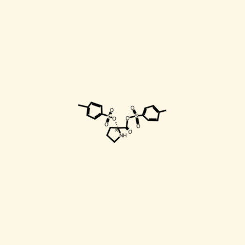 Cc1ccc(S(=O)(=O)OC(=O)[C@]2(OS(=O)(=O)c3ccc(C)cc3)CCCN2)cc1